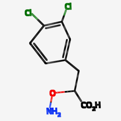 NOC(Cc1ccc(Cl)c(Cl)c1)C(=O)O